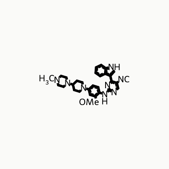 [C-]#[N+]c1cnc(Nc2ccc(N3CCC(N4CCN(C)CC4)CC3)cc2OC)nc1-c1c[nH]c2ccccc12